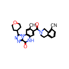 Cc1cc2c(cc1C(=O)N1CCc3cccc(C#N)c3C1)[nH]c(=O)c1nnc(C3CCOCC3)n12